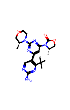 C[C@H]1COCCN1c1nc(-c2cnc(N)nc2C(C)(C)C)cc(N2C(=O)OC[C@@H]2C)n1